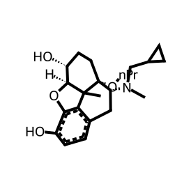 CCCO[C@@]12CC[C@@H](O)[C@@H]3Oc4c(O)ccc(c4C31C)C[C@H]2N(C)CC1CC1